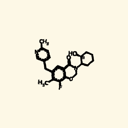 Cc1ccc(Cc2cc3c(c(F)c2C)OCN(C2CCCC[C@@H]2O)C3=O)cn1